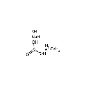 O=[Si](O)O.[AlH3].[CaH2].[KH].[NaH]